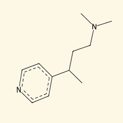 CC(CCN(C)C)c1ccncc1